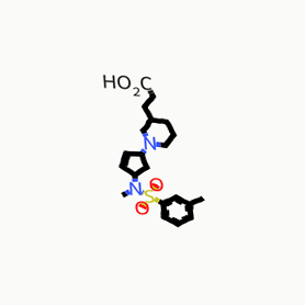 Cc1cccc(S(=O)(=O)N(C)C2C=CC(N3CCCC(CCC(=O)O)C3)C2)c1